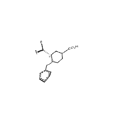 O=C(O)N1CCN(Cc2ccccc2)[C@H](C(F)F)C1